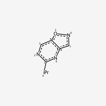 CC(C)c1ncc2oncc2n1